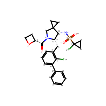 O=C([C@H]1CCO1)N1CC2(CC2)[C@H](NS(=O)(=O)C2(F)CC2)[C@@H]1Cc1cccc(-c2ccccc2)c1F